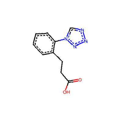 O=C(O)CCc1ccccc1-n1cnnn1